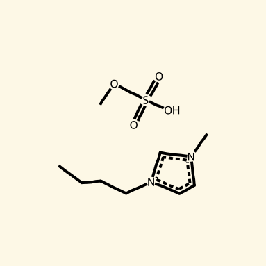 CCCC[n+]1ccn(C)c1.COS(=O)(=O)O